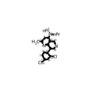 CCCN(CCC)c1cc(C)nc2c(-c3ccc(Cl)cc3Cl)cncc12